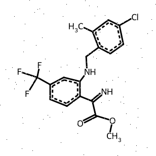 COC(=O)C(=N)c1ccc(C(F)(F)F)cc1NCc1ccc(Cl)cc1C